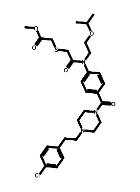 COC(=O)CSCC(=O)N(CCOC(C)C)c1ccc(C(=O)N2CCN(CCc3ccc(Cl)cc3)CC2)cc1